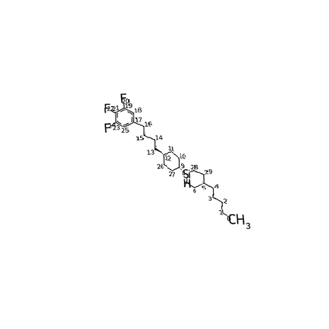 CCCCCC1CC[SiH]([C@H]2CC[C@H](CCCCc3cc(F)c(F)c(F)c3)CC2)CC1